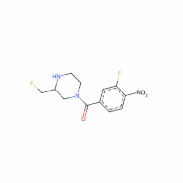 O=C(c1ccc([N+](=O)[O-])c(F)c1)N1CCNC(CF)C1